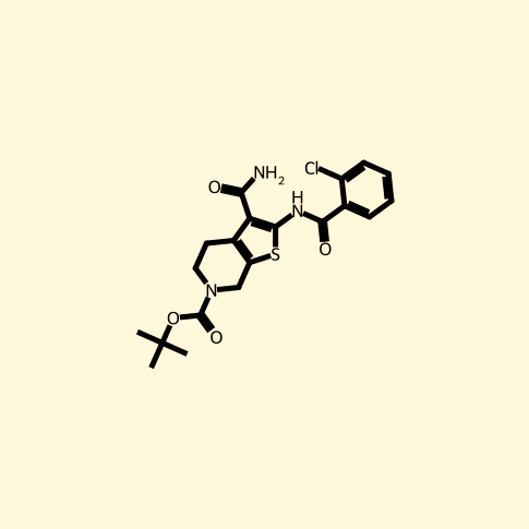 CC(C)(C)OC(=O)N1CCc2c(sc(NC(=O)c3ccccc3Cl)c2C(N)=O)C1